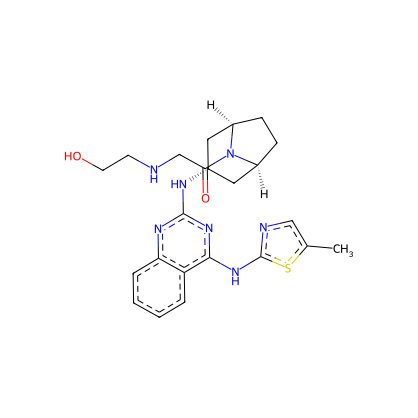 Cc1cnc(Nc2nc(N[C@@H]3C[C@H]4CC[C@@H](C3)N4C(=O)CNCCO)nc3ccccc23)s1